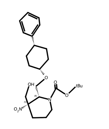 CC(C)(C)OC(=O)N1CCC[C@](CO)([N+](=O)[O-])[C@@H]1CO[C@H]1CC[C@@H](c2ccccc2)CC1